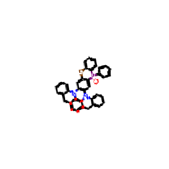 O=P1(c2ccccc2)c2ccccc2Sc2cc(N3c4ccccc4Cc4ccccc43)c(N3c4ccccc4Cc4ccccc43)cc21